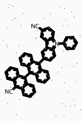 N#Cc1ccc2c(c1)c1cc(-c3c4ccccc4c(-c4c5ccccc5c(C#N)c5ccccc45)c4ccccc34)ccc1n2-c1ccccc1